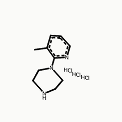 Cc1cccnc1N1CCNCC1.Cl.Cl.Cl